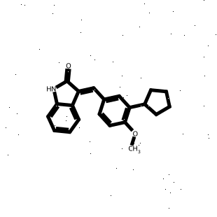 COc1ccc(/C=C2/C(=O)Nc3ccccc32)cc1C1CCCC1